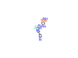 CNS(=O)(=O)c1ccc(Nc2ncc(C(F)(F)F)c(-n3cc([C@H]4CCNC4)cn3)n2)cc1